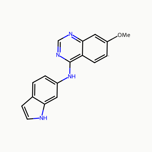 COc1[c]cc2c(Nc3ccc4cc[nH]c4c3)ncnc2c1